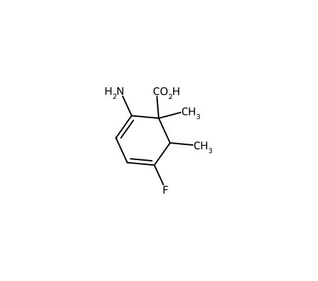 CC1C(F)=CC=C(N)C1(C)C(=O)O